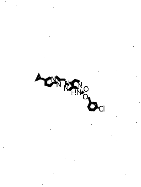 O=C(Nc1nccc2c1cnn2Cc1cn2cc(C3CC3)ccc2n1)OCc1cccc(Cl)c1